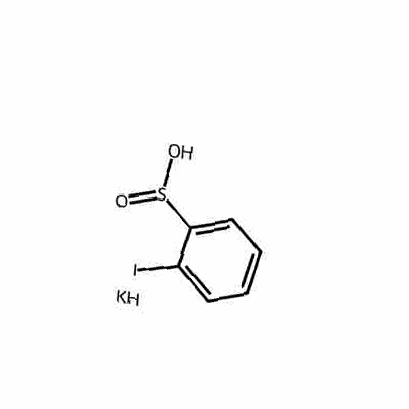 O=S(O)c1ccccc1I.[KH]